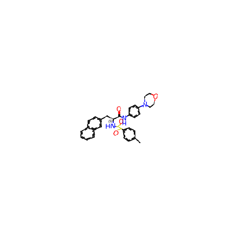 Cc1ccc(S(=O)(=O)N[C@@H](Cc2ccc3ccccc3c2)C(=O)Nc2ccc(N3CCOCC3)cc2)cc1